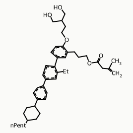 C=C(C)CC(=O)OCCCc1cc(-c2ccc(-c3ccc(C4CCC(CCCCC)CC4)cc3)cc2CC)ccc1OCCC(CO)CO